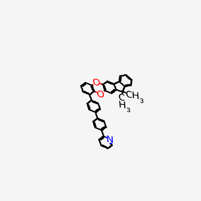 CC1(C)c2ccccc2-c2cc3c(cc21)Oc1c(cccc1-c1ccc(-c2ccc(-c4ccccn4)cc2)cc1)O3